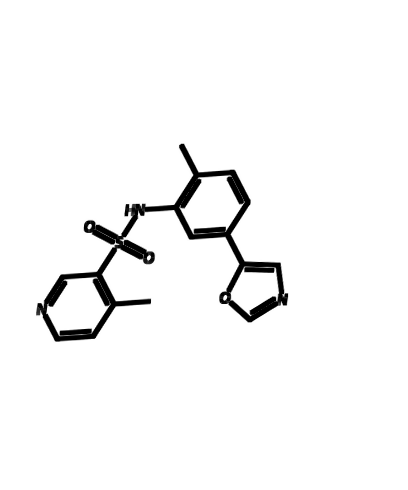 Cc1ccc(-c2cnco2)cc1NS(=O)(=O)c1cnccc1C